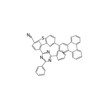 N#Cc1ccc(-c2nc(-c3ccccc3)nc(-c3ccccc3)n2)c2c1sc1ccc(-c3ccc4c5ccccc5c5ccccc5c4c3)cc12